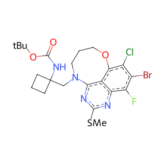 CSc1nc2c3c(c(Cl)c(Br)c(F)c3n1)OCCCN2CC1(NC(=O)OC(C)(C)C)CCC1